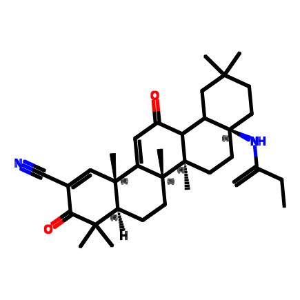 C=C(CC)N[C@]12CCC(C)(C)CC1C1C(=O)C=C3[C@@]4(C)C=C(C#N)C(=O)C(C)(C)[C@@H]4CC[C@@]3(C)[C@]1(C)CC2